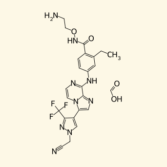 CCc1cc(Nc2nccn3c(-c4cn(CC#N)nc4C(F)(F)F)cnc23)ccc1C(=O)NOCCN.O=CO